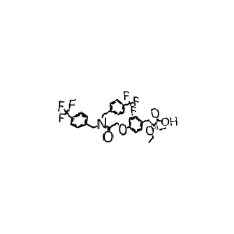 CCO[C@@](CC)(Cc1ccc(OCC(=O)N(Cc2ccc(C(F)(F)F)cc2)Cc2ccc(C(F)(F)F)cc2)cc1)C(=O)O